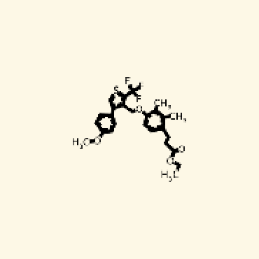 CCOC(=O)CCc1ccc(OCc2c(-c3ccc(OC)cc3)csc2C(F)(F)F)c(C)c1C